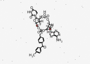 Cc1ccc(C(=O)c2ccc(CS[P@]3(=O)OC[C@H]4O[C@@H](n5ccc(=O)[nH]c5=O)[C@H](OP(=O)(O)OC[C@H]5O[C@@H](n6cnc7c(N)ncnc76)[C@H](O3)[C@@H]5F)[C@@H]4F)cc2)cc1